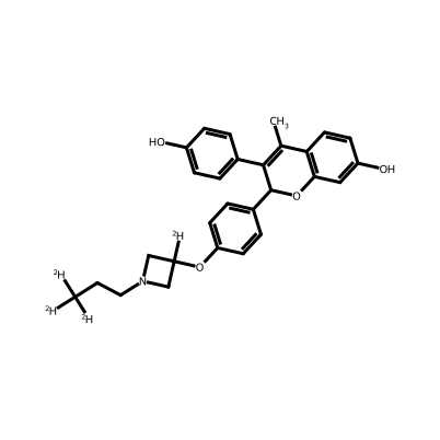 [2H]C([2H])([2H])CCN1CC([2H])(Oc2ccc(C3Oc4cc(O)ccc4C(C)=C3c3ccc(O)cc3)cc2)C1